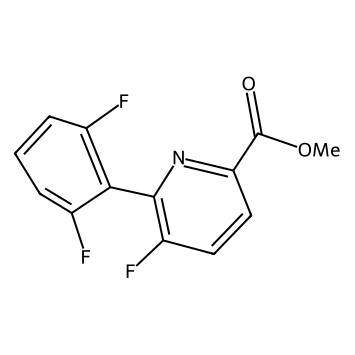 COC(=O)c1ccc(F)c(-c2c(F)cccc2F)n1